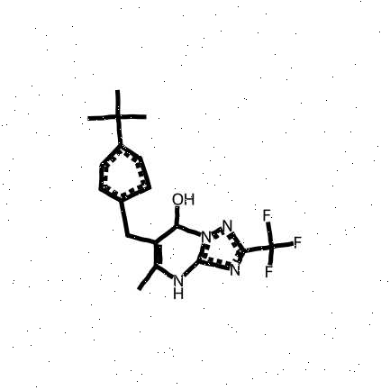 CC1=C(Cc2ccc(C(C)(C)C)cc2)C(O)n2nc(C(F)(F)F)nc2N1